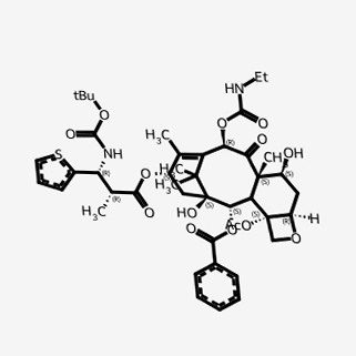 CCNC(=O)O[C@H]1C(=O)[C@@]2(C)C([C@H](OC(=O)c3ccccc3)[C@]3(O)C[C@H](OC(=O)[C@H](C)[C@@H](NC(=O)OC(C)(C)C)c4cccs4)C(C)=C1C3(C)C)[C@]1(OC(C)=O)CO[C@@H]1C[C@@H]2O